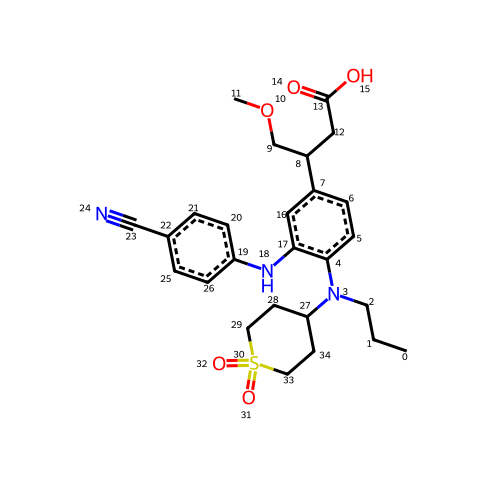 CCCN(c1ccc(C(COC)CC(=O)O)cc1Nc1ccc(C#N)cc1)C1CCS(=O)(=O)CC1